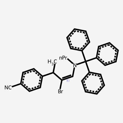 CCCN(/C=C(/Br)C(C)c1ccc(C#N)cc1)C(c1ccccc1)(c1ccccc1)c1ccccc1